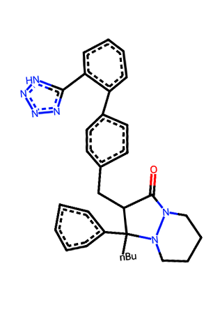 CCCCC1(c2ccccc2)C(Cc2ccc(-c3ccccc3-c3nnn[nH]3)cc2)C(=O)N2CCCCN21